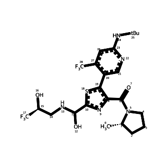 C[C@H]1CCCN1C(=O)c1nc(C(O)NC[C@H](O)C(F)(F)F)sc1-c1cnc(NC(C)(C)C)cc1C(F)(F)F